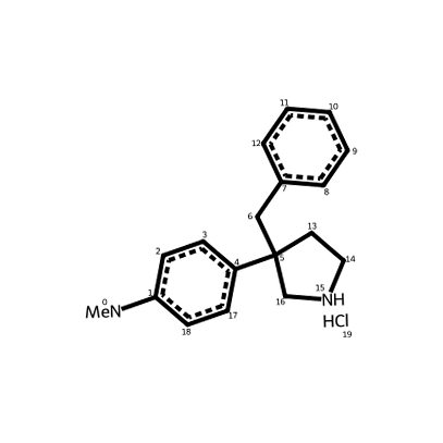 CNc1ccc(C2(Cc3ccccc3)CCNC2)cc1.Cl